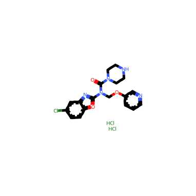 Cl.Cl.O=C(N1CCNCC1)N(COc1cccnc1)c1nc2cc(Cl)ccc2o1